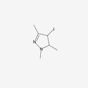 CC1=NN(C)C(C)C1I